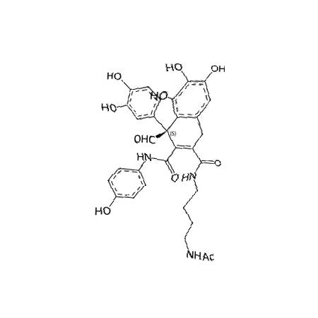 CC(=O)NCCCCNC(=O)C1=C(C(=O)Nc2ccc(O)cc2)[C@](C=O)(c2ccc(O)c(O)c2)c2c(cc(O)c(O)c2O)C1